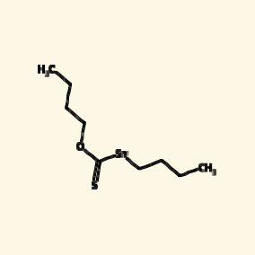 CCCCO[C](=S)[Sn][CH2]CCC